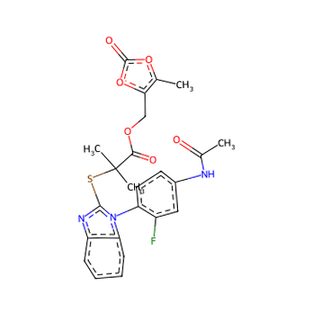 CC(=O)Nc1ccc(-n2c(SC(C)(C)C(=O)OCc3oc(=O)oc3C)nc3ccccc32)c(F)c1